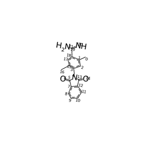 Cc1cc(N2C(=O)c3ccccc3C2=O)c(C)cc1C(=N)N